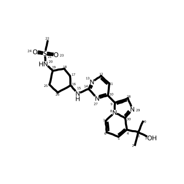 CC(C)(O)c1cccn2c(-c3ccnc(NC4CCC(NS(C)(=O)=O)CC4)n3)cnc12